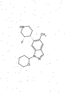 Cc1cc2cnn(C3CCCCO3)c2cc1[C@H]1CCNC[C@H]1F